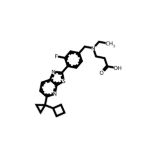 CCN(CCC(=O)O)Cc1ccc(-c2nc3ccc(C4(C5CCC5)CC4)nc3s2)c(F)c1